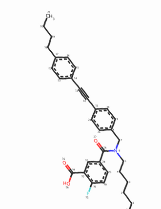 CCCCCCN(Cc1ccc(C#Cc2ccc(CCCC)cc2)cc1)C(=O)c1ccc(F)c(C(=O)O)c1